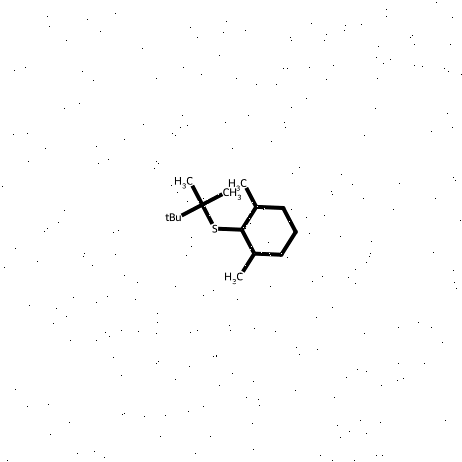 CC1CCCC(C)C1SC(C)(C)C(C)(C)C